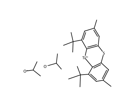 CC(C)[O-].CC(C)[O-].Cc1cc2[c](c(C(C)(C)C)c1)[Ti+2][c]1c(cc(C)cc1C(C)(C)C)S2